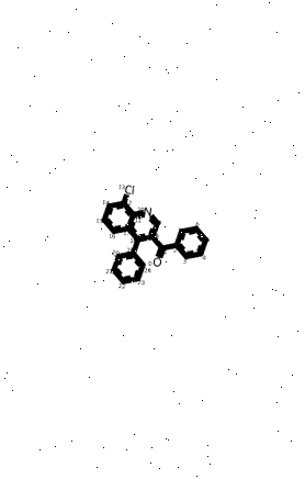 O=C(c1ccccc1)c1cnc2c(Cl)cccc2c1-c1[c]cccc1